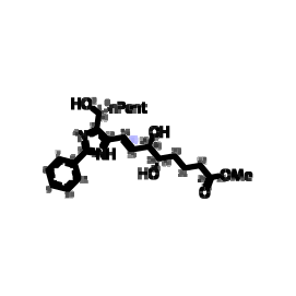 CCCCC[C@@H](O)c1nc(-c2ccccc2)[nH]c1/C=C/[C@@H](O)[C@@H](O)CCCC(=O)OC